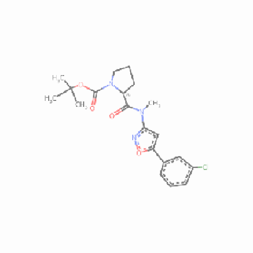 CN(C(=O)[C@@H]1CCCN1C(=O)OC(C)(C)C)c1cc(-c2cccc(Cl)c2)on1